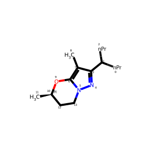 CCCC(CCC)c1nn2c(c1C)O[C@H](C)CC2